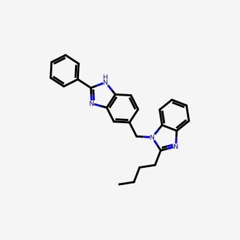 CCCCc1nc2ccccc2n1Cc1ccc2[nH]c(-c3ccccc3)nc2c1